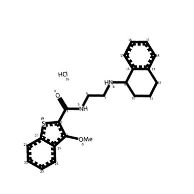 COc1c(C(=O)NCCNC2CCCc3ccccc32)sc2ccccc12.Cl